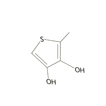 Cc1scc(O)c1O